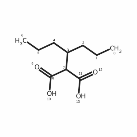 CCCC(CCC)C(C(=O)O)C(=O)O